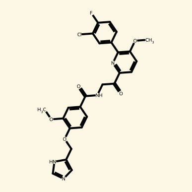 COc1cc(C(=O)NCC(=O)c2ccc(OC)c(-c3ccc(F)c(Cl)c3)n2)ccc1OCc1cnc[nH]1